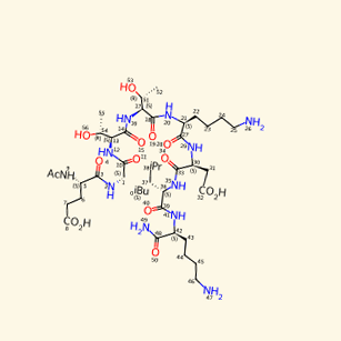 CC[C@H](C)[C@H](NC(=O)[C@H](CCC(=O)O)NC(C)=O)C(=O)N[C@H](C(=O)N[C@H](C(=O)N[C@@H](CCCCN)C(=O)N[C@@H](CC(=O)O)C(=O)N[C@@H](CC(C)C)C(=O)N[C@@H](CCCCN)C(N)=O)[C@@H](C)O)[C@@H](C)O